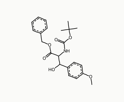 COc1ccc(C(O)C(NC(=O)OC(C)(C)C)C(=O)OCc2ccccc2)cc1